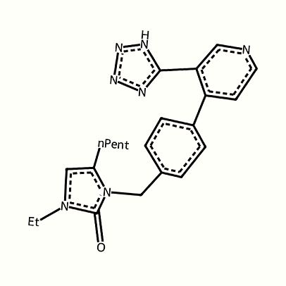 CCCCCc1cn(CC)c(=O)n1Cc1ccc(-c2ccncc2-c2nnn[nH]2)cc1